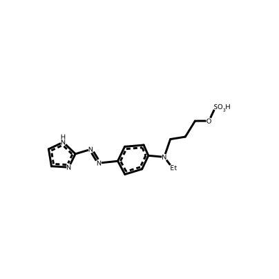 CCN(CCCOS(=O)(=O)O)c1ccc(N=Nc2ncc[nH]2)cc1